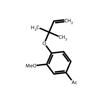 C=CC(C)(C)Oc1ccc(C(C)=O)cc1OC